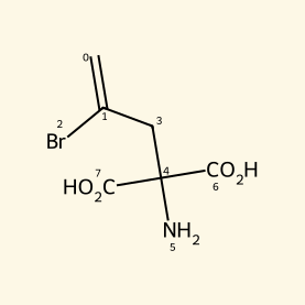 C=C(Br)CC(N)(C(=O)O)C(=O)O